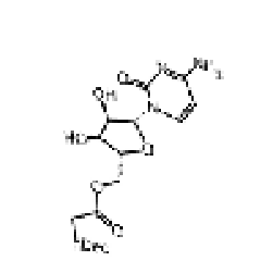 CCCCCCCCCCCC(=O)OC[C@H]1O[C@@H](n2ccc(N)nc2=O)[C@H](O)[C@@H]1O